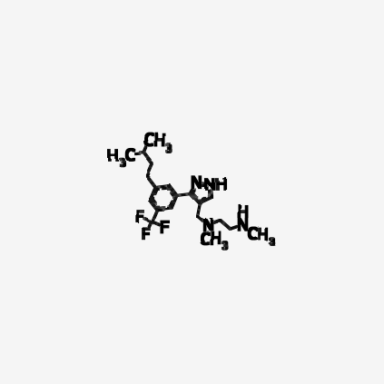 CNCCN(C)Cc1c[nH]nc1-c1cc(CCC(C)C)cc(C(F)(F)F)c1